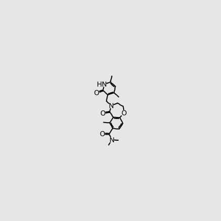 Cc1cc(C)c(CN2CCOc3ccc(C(=O)N(C)C)c(C)c3C2=O)c(=O)[nH]1